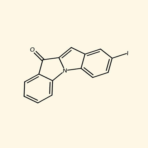 O=C1c2ccccc2-n2c1cc1cc(I)ccc12